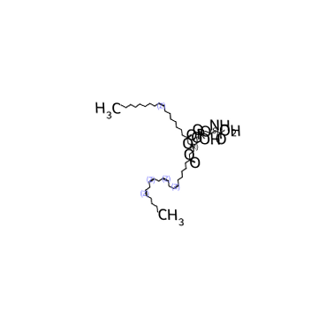 CCCCC/C=C\C/C=C\C/C=C\C/C=C\CCCCCC(=O)OC[C@H](COP(=O)(O)OC[C@H](N)C(=O)O)OC(=O)CCCCCCC/C=C\CCCCCCCCC